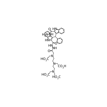 NNC(=O)c1[nH]c2ccccc2c1C(c1ccccc1)c1c(C(=O)NNC(=O)CN(CCN(CCN(CC(=O)O)CC(=O)O)CC(=O)O)CC(=O)O)[nH]c2ccccc12